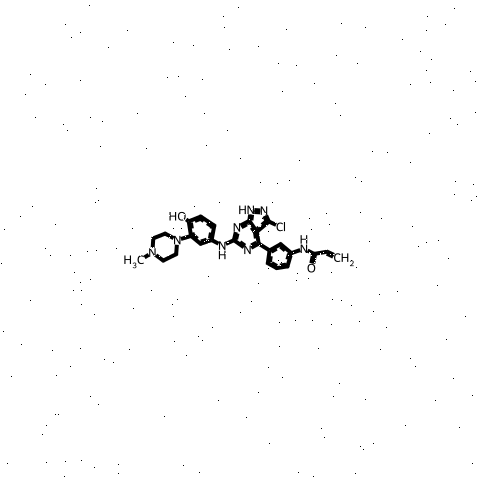 C=CC(=O)Nc1cccc(-c2nc(Nc3ccc(O)c(N4CCN(C)CC4)c3)nc3[nH]nc(Cl)c23)c1